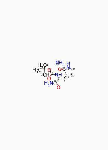 CC(C)(C)OC(=O)NC(C[C@@H]1CCNC1=O)C(N)=O.N